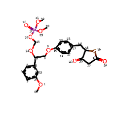 COc1cccc(C(COc2ccc(CC3SC(=O)CC3=O)cc2)OCOP(=O)(OC)OC)c1